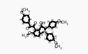 COc1ccc(C(=O)C(=O)c2c(OC)ccc3c2c(O)c(-c2ccc(OC)cc2)n3-c2ccc(OC)cc2)cc1